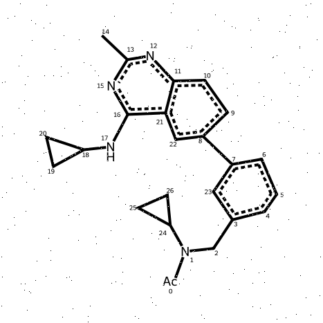 CC(=O)N(Cc1cccc(-c2ccc3nc(C)nc(NC4CC4)c3c2)c1)C1CC1